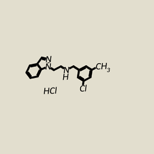 Cc1cc(Cl)cc(CNCCn2ncc3ccccc32)c1.Cl